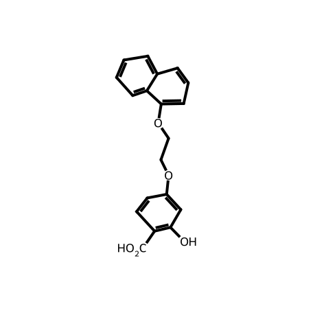 O=C(O)c1ccc(OCCOc2cccc3ccccc23)cc1O